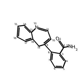 NC(=O)c1ccccc1C1=CC=Nc2ccccc2C1